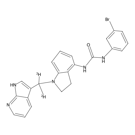 [2H]C([2H])(c1c[nH]c2ncccc12)N1CCc2c(NC(=O)Nc3cccc(Br)c3)cccc21